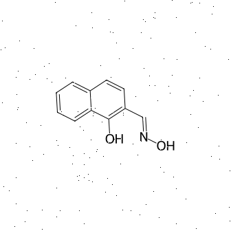 ON=Cc1ccc2ccccc2c1O